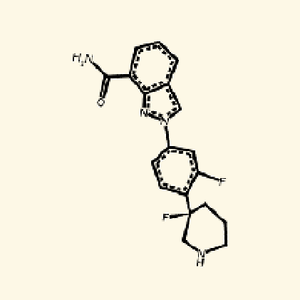 NC(=O)c1cccc2cn(-c3ccc([C@]4(F)CCCNC4)c(F)c3)nc12